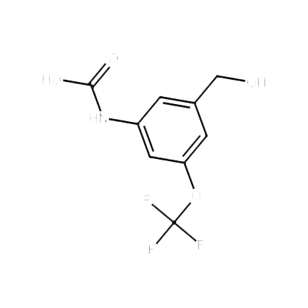 O=C(O)Nc1cc(CO)cc(OC(F)(F)F)c1